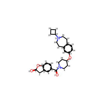 O=C1Cc2cc(C(=O)N3CCC(Oc4ccc5c(c4)CCN(C4CCC4)CC5)CC3)ccc2O1